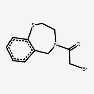 O=C(CBr)N1CCSc2ccccc2C1